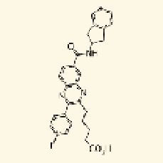 O=C(O)CCCCc1nc2cc(C(=O)NC3Cc4ccccc4C3)ccc2nc1-c1ccc(F)cc1